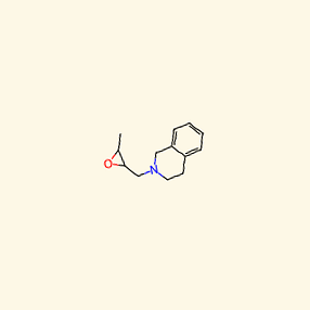 CC1OC1CN1CCc2ccccc2C1